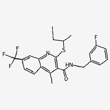 CCC(C)Sc1nc2cc(C(F)(F)F)ccc2c(C)c1C(=O)NCc1cccc(F)c1